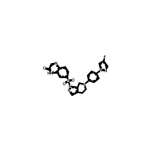 O=c1cnc2ccc(S(=O)(=O)n3ncc4c3CN(c3ccc(-n5cc(F)cn5)cc3)CC4)cc2[nH]1